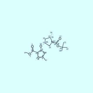 COC(=O)c1sc(C)cc1O[C@@H]1C[C@H](C)N(C(=O)OC(C)(C)C)C1